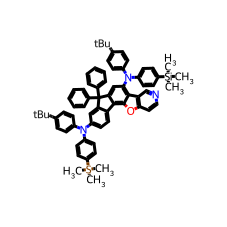 CC(C)(C)c1ccc(N(c2ccc(S(C)(C)C)cc2)c2ccc3c(c2)C(c2ccccc2)(c2ccccc2)c2cc(N(c4ccc(C(C)(C)C)cc4)c4ccc([Si](C)(C)C)cc4)c4c(oc5ccncc54)c2-3)cc1